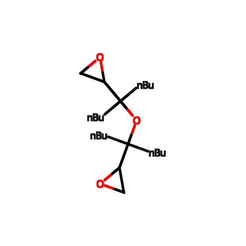 CCCCC(CCCC)(OC(CCCC)(CCCC)C1CO1)C1CO1